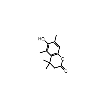 Cc1cc2c(c(C)c1O)C(C)(C)CC(=O)O2